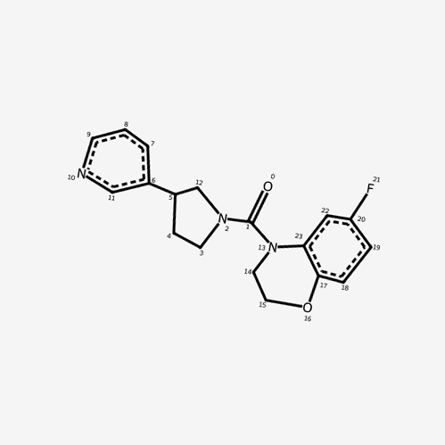 O=C(N1CCC(c2cccnc2)C1)N1CCOc2ccc(F)cc21